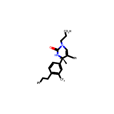 CC(C)CCc1ccc([C@]2(C)NC(=O)N(CCC(=O)O)C=C2C(C)C)cc1C(F)(F)F